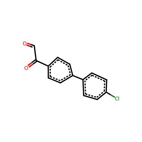 O=CC(=O)c1ccc(-c2ccc(Cl)cc2)cc1